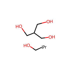 CC(C)CO.OCC(CO)CO